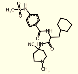 CN1CCC(C#N)(NC(=O)C(CC2CCCCC2)NC(=O)c2ccc(NS(C)(=O)=O)cc2)CC1